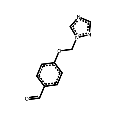 O=[C]c1ccc(OCn2cncn2)cc1